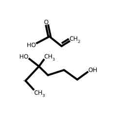 C=CC(=O)O.C[CH]C(C)(O)CCCO